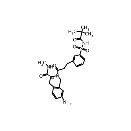 CNC(=O)[C@@H]1Cc2ccc(N)cc2CN1C(=O)CCc1cccc(S(=O)(=O)NC(=O)C(C)(C)C)c1